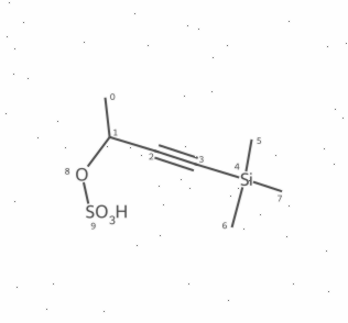 CC(C#C[Si](C)(C)C)OS(=O)(=O)O